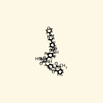 Cn1c(=O)n(-c2ccc(C[C@H](NC(=O)c3cc(F)c(NS(=O)(=O)c4ccc(-c5cnc(C6CCOCC6)nc5)cc4)cc3F)C(=O)NO)cn2)c(=O)c2ccccc21